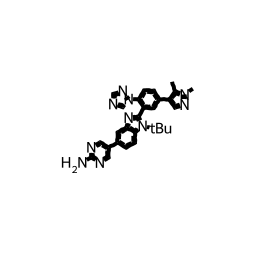 Cc1c(-c2ccc(-n3cncn3)c(-c3nc4cc(-c5cnc(N)nc5)ccc4n3C(C)(C)C)c2)cnn1C